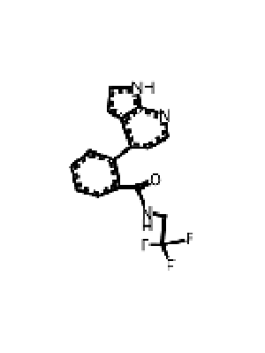 O=C(NCC(F)(F)F)c1ccccc1-c1ccnc2[nH]ccc12